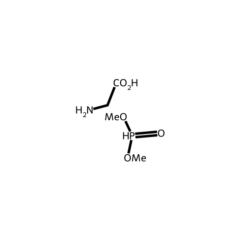 CO[PH](=O)OC.NCC(=O)O